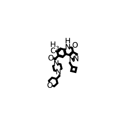 Cc1cc2[nH]c(=O)c3cnn(CC4CCC4)c3c2cc1C(=O)N1CCN(CC2CCOCC2)CC1